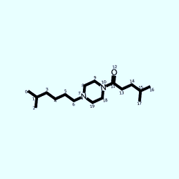 CC(C)CCCCN1CCN(C(=O)CCC(C)C)CC1